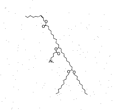 CCCCCC/C=C\COC(=O)CCCCCCCCCC(CCCCCCCCCC(OCCCCCCCCCC)OCCCCCCCCCC)OC(=O)CCCN(C)C